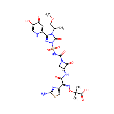 COCC(C)n1c(-c2cc(=O)c(O)c[nH]2)nn(S(=O)(=O)NC(=O)N2C[C@H](NC(=O)C(=NOC(C)(C)C(=O)O)c3csc(N)n3)C2=O)c1=O